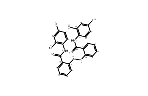 O=C(Nc1ccc(F)cc1Cl)c1ccccc1SSc1ccccc1C(=O)Nc1ccc(F)cc1Cl